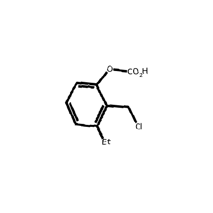 CCc1cccc(OC(=O)O)c1CCl